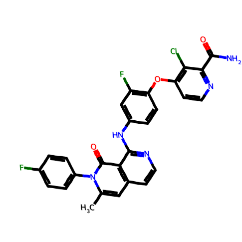 Cc1cc2ccnc(Nc3ccc(Oc4ccnc(C(N)=O)c4Cl)c(F)c3)c2c(=O)n1-c1ccc(F)cc1